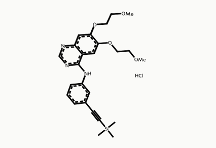 COCCOc1cc2ncnc(Nc3cccc(C#C[Si](C)(C)C)c3)c2cc1OCCOC.Cl